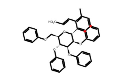 Cc1cccc([C@H]2O[C@H](COc3ccccc3)[C@@H](Oc3ccccc3)[C@H](Oc3ccccc3)[C@@H]2Oc2ccccc2)c1/C=C/C(=O)O